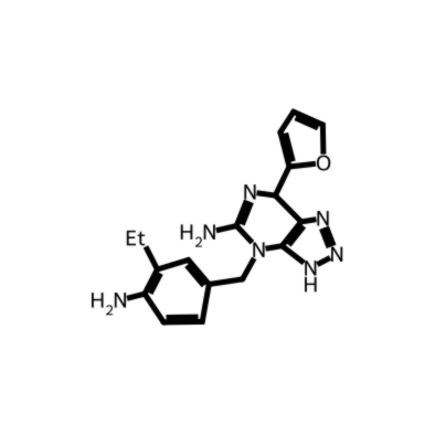 CCc1cc(CN2C(N)=NC(c3ccco3)c3nn[nH]c32)ccc1N